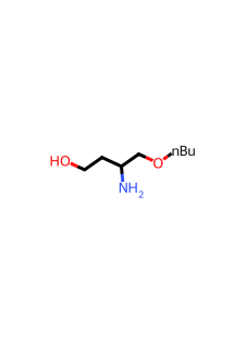 CCCCOCC(N)CCO